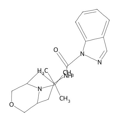 CC(C)(C)N1C2COCC1CC(NC(=O)n1ncc3ccccc31)C2